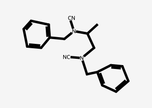 CC(CN(C#N)Cc1ccccc1)N(C#N)Cc1ccccc1